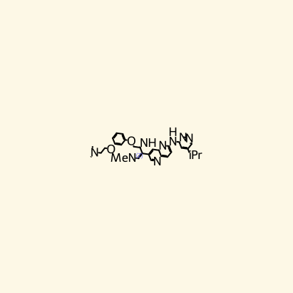 CN/C=C(\C(=N)COc1cccc(OCCN(C)C)c1)c1cnc2ccc(Nc3cc(C(C)C)cnn3)nc2c1